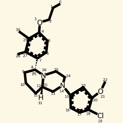 CCCOc1ccc([C@H]2CCC[C@H]3CN(c4ccc(Cl)c(OC)c4)CCN32)c(C)c1C